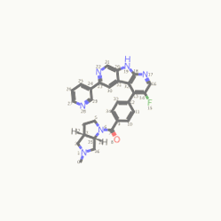 CN1C[C@@H]2CCN(C(=O)c3ccc(-c4c(F)cnc5[nH]c6cnc(-c7cccnc7)cc6c45)cc3)[C@@H]2C1